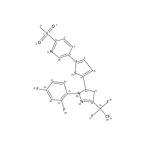 CS(=O)(=O)c1ccc(-c2ccc(C3CC(C(F)(F)C(F)(F)F)=NN3c3ccc(F)cc3F)s2)cn1